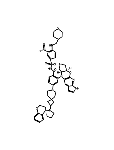 O=C(NS(=O)(=O)c1ccc(NCC2CCOCC2)c([N+](=O)[O-])c1)c1ccc(N2CCC3(CC2)CC(N2CCC[C@]24CCOc2ccccc24)C3)cc1N1c2cc3cc[nH]c3nc2O[C@@H]2COC[C@H]21